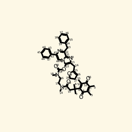 CC1=C(C)C(=O)C(C(C)(C)CC(=O)N(C)CCN(C)C(=O)Oc2c(CC3=CCCO3)nc3c(Cc4ccccc4)nc(-c4ccccc4)cn23)=C(C)C1=O